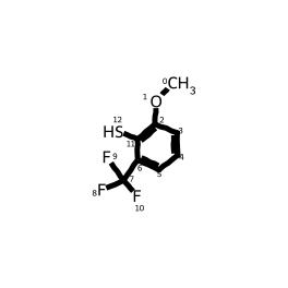 COc1cccc(C(F)(F)F)c1S